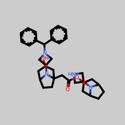 O=C(CC12CCC(CC(O)C1)N2C1CN(C(c2ccccc2)c2ccccc2)C1)OC1CC2CCC(C1)N2C1CNC1